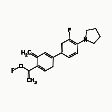 C=C1C=C(c2ccc(N3CCCC3)c(F)c2)CC=C1C(=C)OF